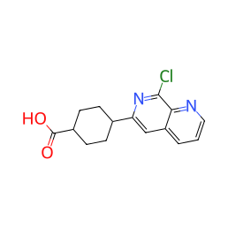 O=C(O)C1CCC(c2cc3cccnc3c(Cl)n2)CC1